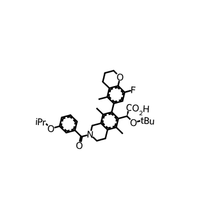 Cc1c(-c2c(C)c3c(c(C)c2[C@H](OC(C)(C)C)C(=O)O)CCN(C(=O)c2cccc(OC(C)C)c2)C3)cc(F)c2c1CCCO2